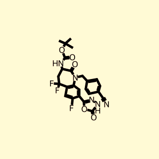 CC(C)(C)OC(=O)NC1CC(F)(F)c2cc(F)c(-c3n[nH]c(=O)o3)cc2N(Cc2ccc(C#N)cc2)C1=O